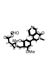 COc1cc(-c2cn(C)c(=O)c3cnccc23)cc(OC)c1CN1CC(CC(=O)OC=O)C1